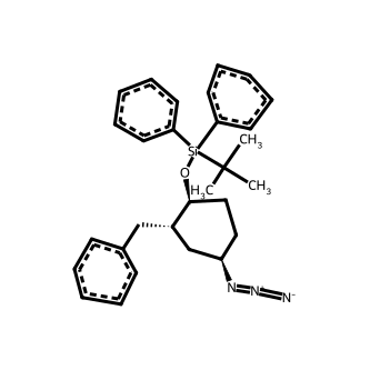 CC(C)(C)[Si](O[C@H]1CC[C@@H](N=[N+]=[N-])C[C@@H]1Cc1ccccc1)(c1ccccc1)c1ccccc1